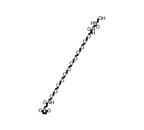 O=C(CCN1C(=O)C=CC1=O)NCCOCCOCCOCCOCCOCCOCCOCCOCCOCCOCCOCCOCCC(=O)NCC(=O)NCCO